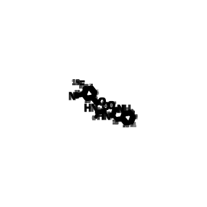 C[C@@H](NC(=O)c1ccc([18F])c(C#N)c1)C(=O)N[C@H](Cc1ccccc1)C(N)=O